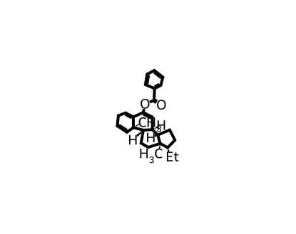 CC[C@H]1CC[C@H]2[C@@H]3C=C(OC(=O)c4ccccc4)C4=CCC=C[C@]4(C)[C@H]3CC[C@]12C